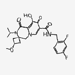 CO[C@H]1C[C@@]2(Cn3cc(C(=O)NCc4ccc(F)cc4F)c(=O)c(O)c3C(=O)N2C(C)C)C1